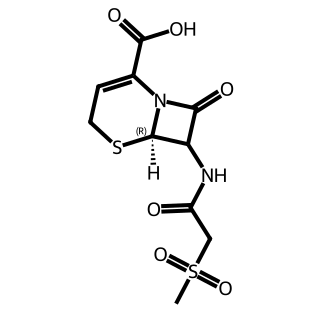 CS(=O)(=O)CC(=O)NC1C(=O)N2C(C(=O)O)=CCS[C@H]12